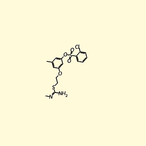 C/N=C(/N)SCCOc1cc(C)cc(OS(=O)(=O)c2ccccc2Cl)c1